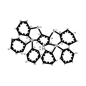 c1ccc([Si]2(c3ccccc3)c3ccccc3Sc3c2[nH]c2c3Sc3ccccc3[Si]2(c2ccccc2)c2ccccc2)cc1